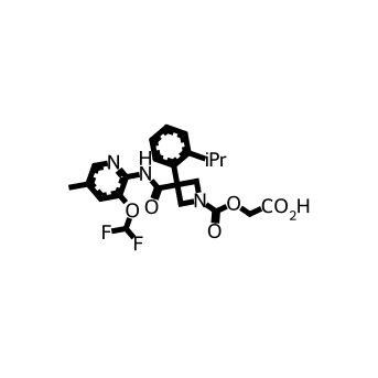 Cc1cnc(NC(=O)C2(c3ccccc3C(C)C)CN(C(=O)OCC(=O)O)C2)c(OC(F)F)c1